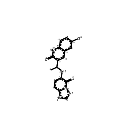 CC(Nc1ccc2[nH]cnn2c1=O)c1cc2cc(Cl)ccc2[nH]c1=O